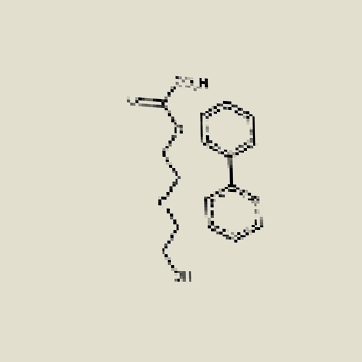 O=C(O)C(=O)OCCOCCO.c1ccc(-c2ccccc2)cc1